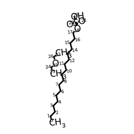 CCCCCCCCCCCCCCCCCCOS(=O)(=O)O.CCOCC